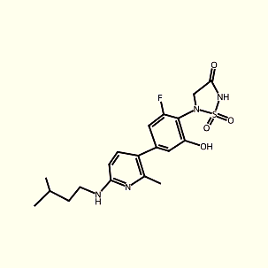 Cc1nc(NCCC(C)C)ccc1-c1cc(O)c(N2CC(=O)NS2(=O)=O)c(F)c1